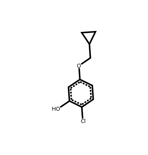 Oc1cc(OCC2CC2)ccc1Cl